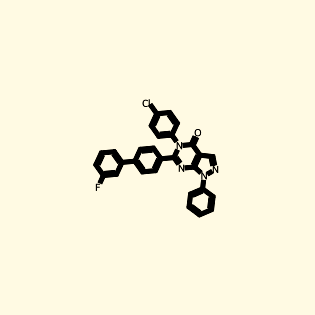 O=c1c2cnn(-c3ccccc3)c2nc(-c2ccc(-c3cccc(F)c3)cc2)n1-c1ccc(Cl)cc1